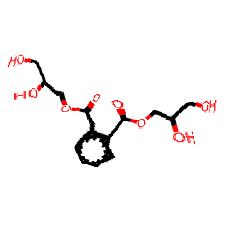 O=C(OCC(O)CO)c1ccccc1C(=O)OCC(O)CO